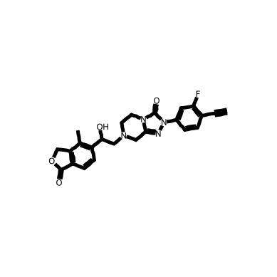 C#Cc1ccc(-n2nc3n(c2=O)CCN(CC(O)c2ccc4c(c2C)COC4=O)C3)cc1F